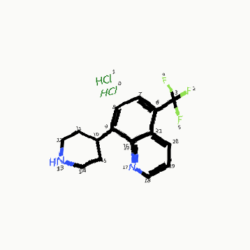 Cl.Cl.FC(F)(F)c1ccc(C2CCNCC2)c2ncccc12